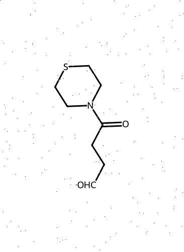 O=[C]CCC(=O)N1CCSCC1